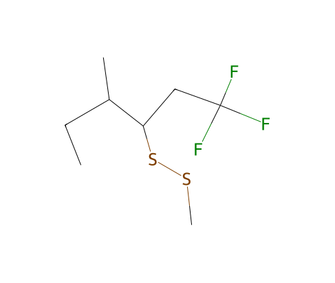 CCC(C)C(CC(F)(F)F)SSC